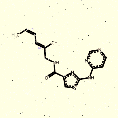 C/C=C\C=C(/C)CNC(=O)c1csc(Nc2ccncn2)n1